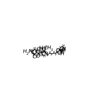 CO[C@H]1CN(CCCCCC(=O)O[C@H]2CN3CCC2CC3)CC[C@H]1NC(=O)c1c(C)cc(N)cc1Cl